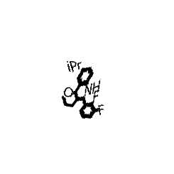 CC(C)c1ccc2c(c1)C1OCCCC1C(c1cccc(F)c1F)N2